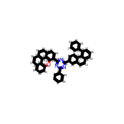 c1ccc(-c2nc(-c3ccc4c(ccc5cccc(-c6ccccc6)c54)c3)nc(-c3ccc4ccc5ccc6cccc7c6c5c4c3O7)n2)cc1